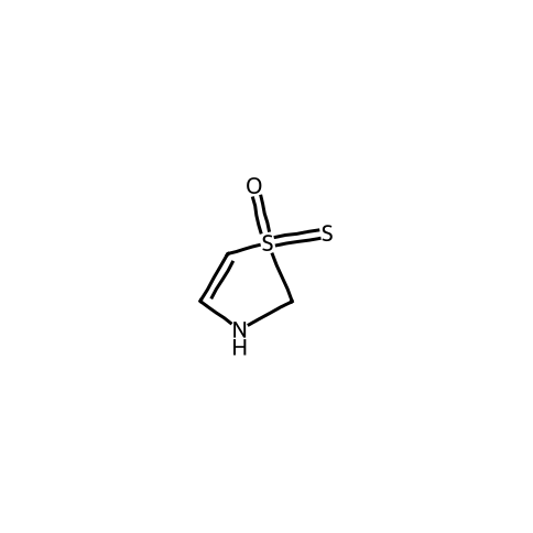 O=S1(=S)C=CNC1